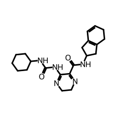 O=C(NC1=NCCN=C1C(=O)NC1CC2=C(CCC=C2)C1)NC1CCCCC1